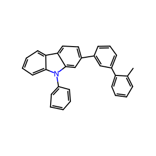 Cc1ccccc1-c1cccc(-c2ccc3c4ccccc4n(-c4ccccc4)c3c2)c1